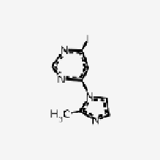 Cc1nccn1-c1cc(I)ncn1